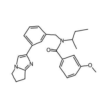 CCC(C)N(Cc1cccc(-c2cn3c(n2)CCC3)c1)C(=O)c1cccc(OC)c1